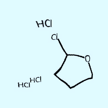 Cl.Cl.Cl.ClC1CCCO1